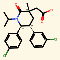 CC(C)N1C(=O)[C@](C)(CC(=O)O)C[C@H](c2cccc(Cl)c2)[C@H]1c1ccc(Cl)cc1